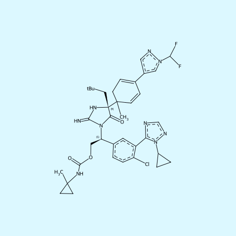 CC(C)(C)C[C@]1(C2(C)C=CC(c3cnn(C(F)F)c3)=CC2)NC(=N)N([C@H](COC(=O)NC2(C)CC2)c2ccc(Cl)c(-c3ncnn3C3CC3)c2)C1=O